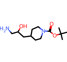 CC(C)(C)OC(=O)N1CCC(CC(O)CN)CC1